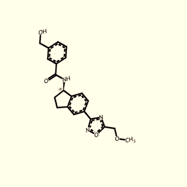 COCc1nc(-c2ccc3c(c2)CC[C@H]3NC(=O)c2cccc(CO)c2)no1